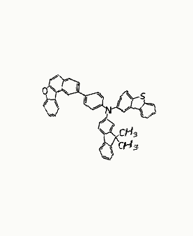 CC1(C)c2ccccc2-c2ccc(N(c3ccc(-c4ccc5ccc6oc7ccccc7c6c5c4)cc3)c3ccc4sc5ccccc5c4c3)cc21